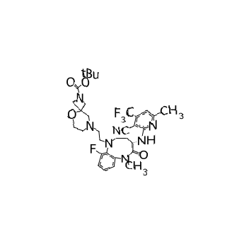 Cc1cc(C(F)(F)F)c(C#N)c(N[C@H]2CCN(CCN3CCOC4(C3)CN(C(=O)OC(C)(C)C)C4)c3c(F)cccc3N(C)C2=O)n1